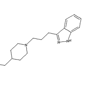 CCC1CCN(CCCc2n[nH]c3ccccc23)CC1